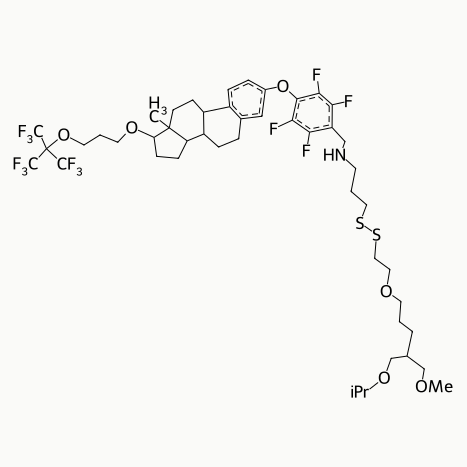 COCC(CCCOCCSSCCCNCc1c(F)c(F)c(Oc2ccc3c(c2)CCC2C3CCC3(C)C(OCCCOC(C(F)(F)F)(C(F)(F)F)C(F)(F)F)CCC23)c(F)c1F)COC(C)C